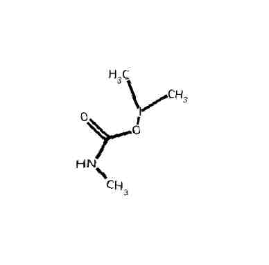 CNC(=O)OI(C)C